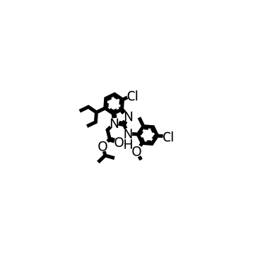 CCC(CC)c1ccc(Cl)c2nc(Nc3c(C)cc(Cl)cc3OC)n(CC(=O)OC(C)C)c12